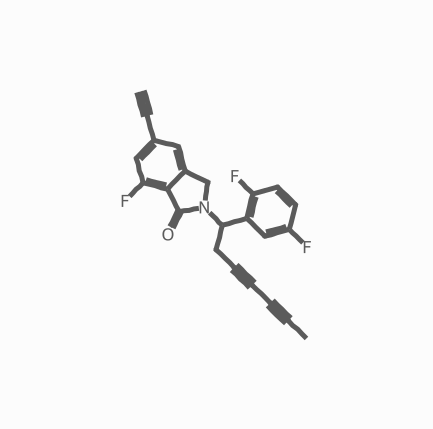 C#Cc1cc(F)c2c(c1)CN(C(CC#CC#CC)c1cc(F)ccc1F)C2=O